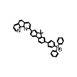 CC1(C)c2cc(-c3ccc(P(=O)(c4ccccc4)c4ccccc4)cc3)ccc2-c2ccc(-c3ccc4ccc5cccnc5c4n3)cc21